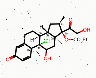 CCOC(=O)O[C@]1(C(=O)CO)[C@H](C)C[C@H]2[C@@H]3CCC4=CC(=O)C=C[C@]4(C)[C@@]3(Cl)C(O)C[C@@]21C